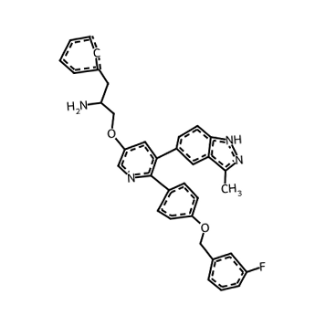 Cc1n[nH]c2ccc(-c3cc(OCC(N)Cc4ccccc4)cnc3-c3ccc(OCc4cccc(F)c4)cc3)cc12